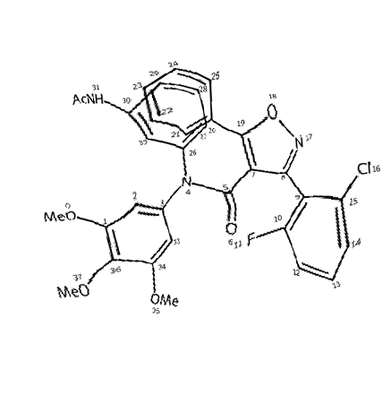 COc1cc(N(C(=O)c2c(-c3c(F)cccc3Cl)noc2-c2ccccc2)c2cccc(NC(C)=O)c2)cc(OC)c1OC